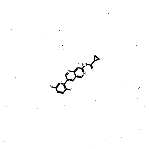 O=C(Nc1cc2ncc(-c3cc(F)ccc3Cl)cc2cn1)C1CC1